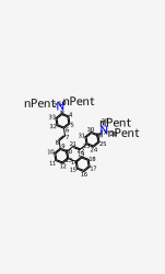 CCCCCN(CCCCC)c1ccc(C=Cc2cccc(-c3ccccc3)c2C=Cc2ccc(N(CCCCC)CCCCC)cc2)cc1